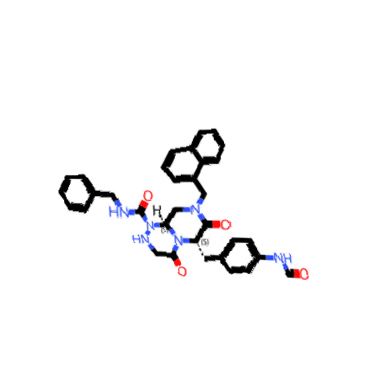 O=CNc1ccc(C[C@H]2C(=O)N(Cc3cccc4ccccc34)C[C@@H]3N(C(=O)NCc4ccccc4)NCC(=O)N32)cc1